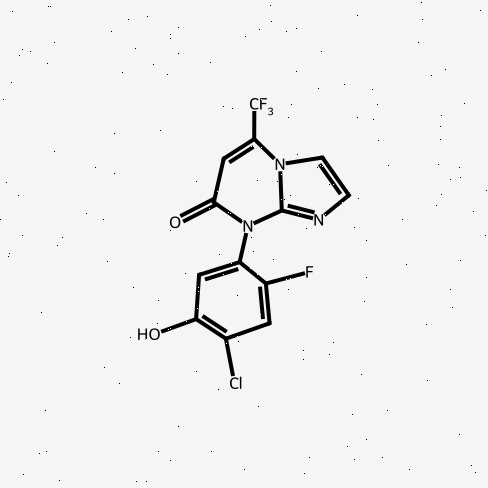 O=c1cc(C(F)(F)F)n2ccnc2n1-c1cc(O)c(Cl)cc1F